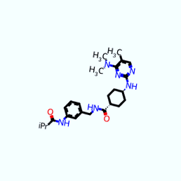 Cc1cnc(N[C@H]2CC[C@@H](C(=O)NCc3cccc(NC(=O)C(C)C)c3)CC2)nc1N(C)C